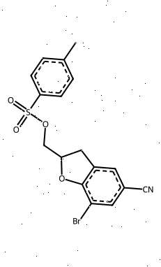 Cc1ccc(S(=O)(=O)OCC2Cc3cc(C#N)cc(Br)c3O2)cc1